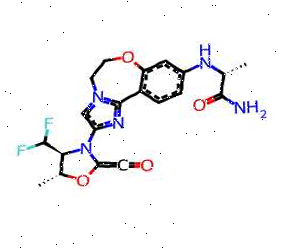 C[C@@H](Nc1ccc2c(c1)OCCn1cc(N3C(=C=O)O[C@H](C)[C@H]3C(F)F)nc1-2)C(N)=O